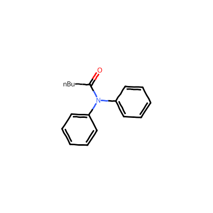 [CH2]CCCC(=O)N(c1ccccc1)c1ccccc1